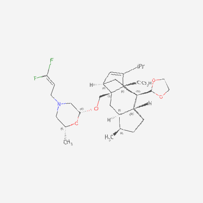 CC(C)C1=C[C@H]2C[C@]3(C4OCCO4)[C@@H]4CC[C@@H](C)[C@H]4C[C@@]2(CO[C@H]2CN(CC=C(F)F)C[C@@H](C)O2)[C@]13C(=O)O